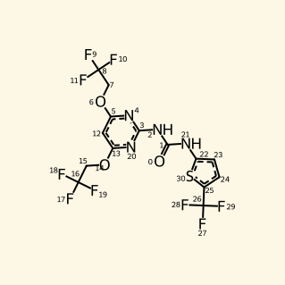 O=C(Nc1nc(OCC(F)(F)F)cc(OCC(F)(F)F)n1)Nc1ccc(C(F)(F)F)s1